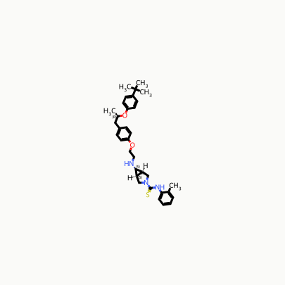 Cc1ccccc1NC(=S)N1C[C@@H]2[C@H](C1)[C@H]2NCCOc1ccc(C[C@@H](C)Oc2ccc(C(C)(C)C)cc2)cc1